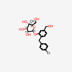 CCc1ccc(Cc2ccc(CO)cc2O[C@@H]2O[C@](C)(CO)[C@@H](O)[C@H](O)[C@H]2O)cc1